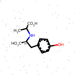 CC(N[C@@H](Cc1ccc(O)cc1)C(=O)O)C(=O)O